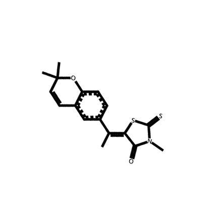 C/C(=C1/SC(=S)N(C)C1=O)c1ccc2c(c1)C=CC(C)(C)O2